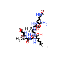 CCCCC[C@@H](NC(=O)CNC(=O)[C@@H](CC)NC(=O)CCC=O)C(O)NCCC(C)N(C=O)CC(=O)N[C@H](CCCCNC=O)C(N)=O